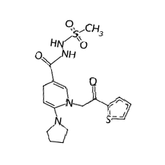 CS(=O)(=O)NNC(=O)C1=CN(CC(=O)c2cccs2)C(N2CCCC2)=CC1